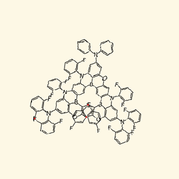 Fc1ccc2sc3c(c2c1)Oc1cc(N(c2c(F)cccc2F)c2c(F)cccc2F)cc2c1B3c1cc3c(cc1N2c1c(F)cccc1F)Oc1cc(N(c2ccccc2)c2ccccc2)cc2c1B3c1cc3c(cc1N2c1c(F)cccc1F)N(c1c(F)cccc1F)c1cc(N(c2c(F)cccc2F)c2c(F)cccc2F)cc2c1B3c1sc3ccc(F)cc3c1O2